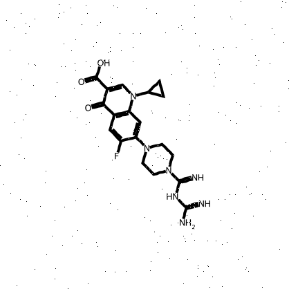 N=C(N)NC(=N)N1CCN(c2cc3c(cc2F)c(=O)c(C(=O)O)cn3C2CC2)CC1